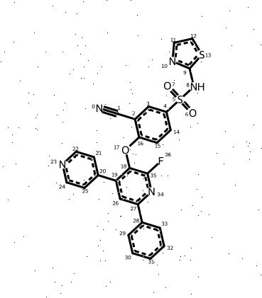 N#Cc1cc(S(=O)(=O)Nc2nccs2)ccc1Oc1c(-c2ccncc2)cc(-c2ccccc2)nc1F